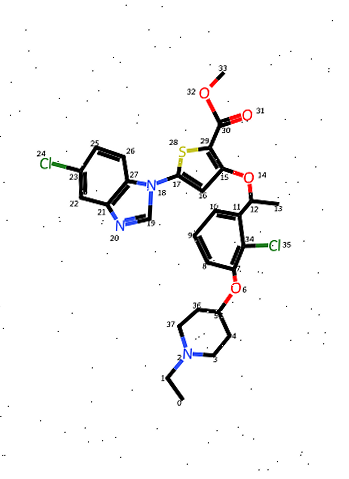 CCN1CCC(Oc2cccc(C(C)Oc3cc(-n4cnc5cc(Cl)ccc54)sc3C(=O)OC)c2Cl)CC1